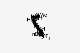 CCCC[C@H](C(=O)N1CCC[C@H]1c1ncc(-c2ccc3nc(-c4ccc(-c5c[nH]c([C@@H]6CCCN6C(=O)[C@@H](NC(=O)OC)C(C)C)n5)cc4)cnc3c2)[nH]1)N(C)C(=O)OC(=O)C(F)(F)F